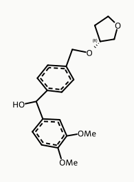 COc1ccc(C(O)c2ccc(CO[C@@H]3CCOC3)cc2)cc1OC